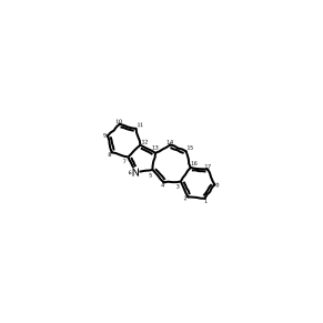 c1ccc2cc3nc4ccccc4c-3ccc2c1